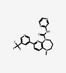 CN1CCCN(C(=O)Nc2cnccn2)c2nc(-c3cncc(C(F)(F)F)c3)ccc21